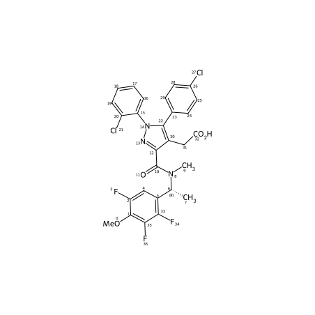 COc1c(F)cc([C@@H](C)N(C)C(=O)c2nn(-c3ccccc3Cl)c(-c3ccc(Cl)cc3)c2CC(=O)O)c(F)c1F